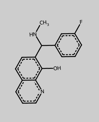 CNC(c1cccc(F)c1)c1ccc2cccnc2c1O